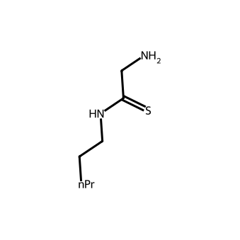 CCCCCNC(=S)CN